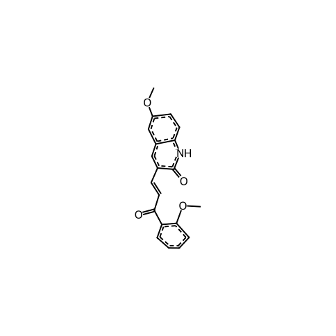 COc1ccc2[nH]c(=O)c(/C=C/C(=O)c3ccccc3OC)cc2c1